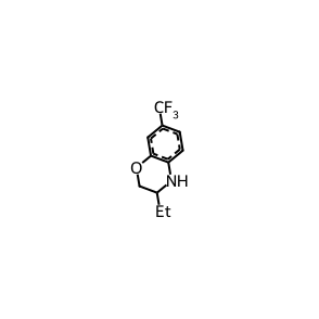 CCC1COc2cc(C(F)(F)F)ccc2N1